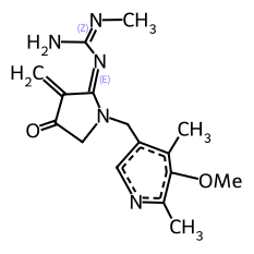 C=C1C(=O)CN(Cc2cnc(C)c(OC)c2C)/C1=N/C(N)=N\C